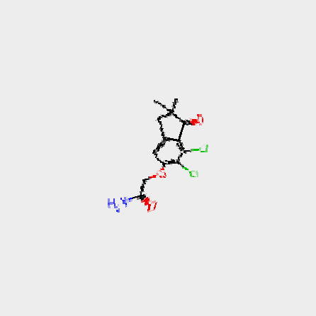 CC1(C)Cc2cc(OCC(N)=O)c(Cl)c(Cl)c2C1=O